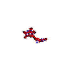 COC(=O)[C@H](CNC(=O)c1ccc2c(cnn2CCNC2=NCCCC2)c1)NS(=O)(=O)c1ccc(-c2ccc(S(=O)(=O)NCCNC(=O)[C@H](CCC(=O)OC(C)(C)C)NC(=O)[C@H](CCC(=O)OC(C)(C)C)NC(=O)CN3CCN(CC(=O)OC(C)(C)C)CCN(CC(=O)OC(C)(C)C)CCN(CC(=O)OC(C)(C)C)CC3)cc2)cc1